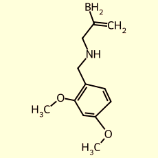 BC(=C)CNCc1ccc(OC)cc1OC